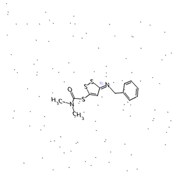 CN(C)C(=O)Sc1c/c(=N\Cc2ccccc2)ss1